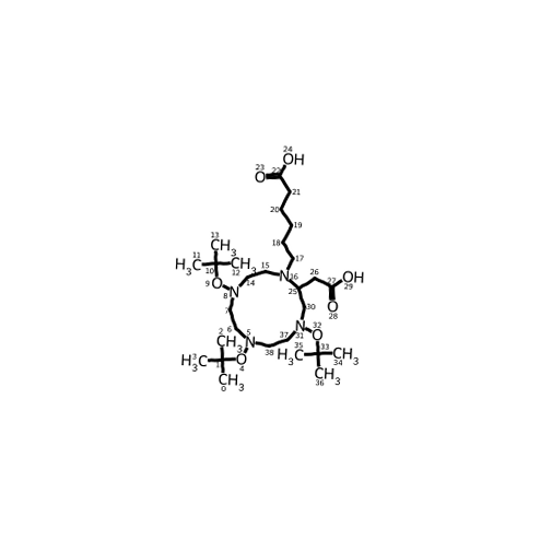 CC(C)(C)ON1CCN(OC(C)(C)C)CCN(CCCCCC(=O)O)C(CC(=O)O)CN(OC(C)(C)C)CC1